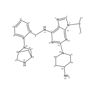 CC(C)n1cnc2c(NCc3ccccc3N3CC4CC3CN4)nc(N3CCC(N)CC3)nc21